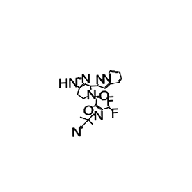 CC(C)(C#N)c1nc(C(F)F)c(C(=O)N2CCc3[nH]cnc3C2c2cc3ccccn3n2)o1